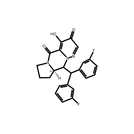 O=C1c2c(O)c(=O)cnn2C(C(c2cccc(F)c2)c2cccc(F)c2)[C@H]2CCCN12